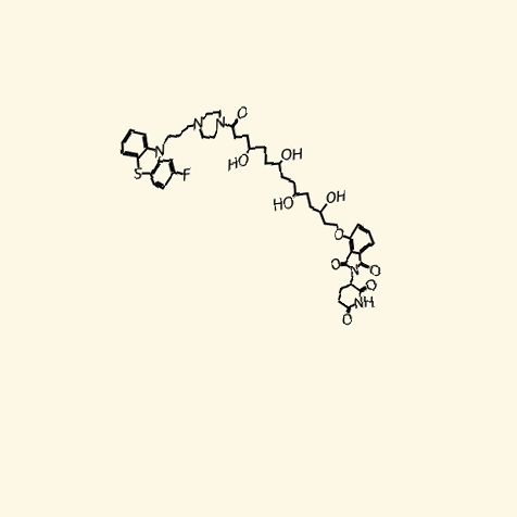 O=C1CCC(N2C(=O)c3cccc(OCCC(O)CCC(O)CCC(O)CCC(O)CCC(=O)N4CCN(CCCN5c6ccccc6Sc6ccc(F)cc65)CC4)c3C2=O)C(=O)N1